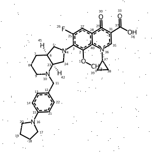 COc1c(N2C[C@@H]3CCCN(Cc4ccc(N5CCCC5)cc4)[C@@H]3C2)c(F)cc2c(=O)c(C(=O)O)cn(C3CC3)c12